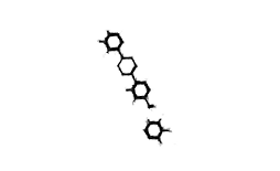 CCCCCc1ccc(OC(=O)c2ccc(C3=CCC(c4ccc(CC)c(F)c4F)CC3)c(F)c2F)c(F)c1F